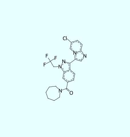 O=C(c1ccc2c(-c3cnc4ccc(Cl)cn34)nn(CC(F)(F)F)c2c1)N1CCCCCC1